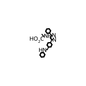 CC(Nc1ccccc1-c1cc(-c2ccc(CNc3ccccc3)cc2)ncn1)C(=O)O